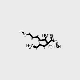 C=CCC[C@@](O)(C(O)CCCCOI)C(CC)OS